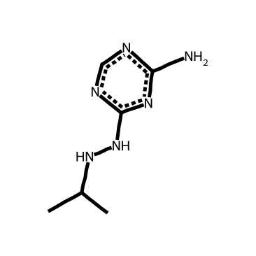 CC(C)NNc1ncnc(N)n1